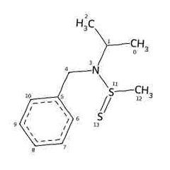 CC(C)N(Cc1ccccc1)S(C)=S